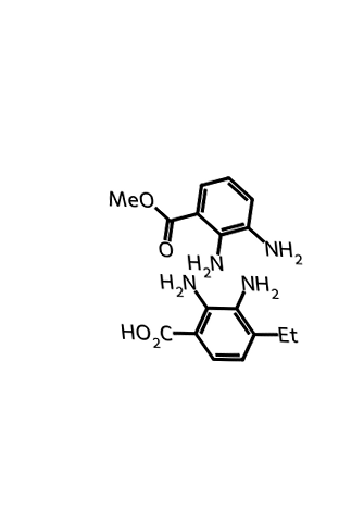 CCc1ccc(C(=O)O)c(N)c1N.COC(=O)c1cccc(N)c1N